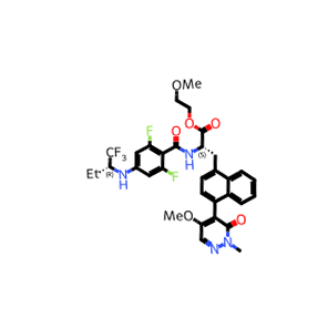 CC[C@@H](Nc1cc(F)c(C(=O)N[C@@H](Cc2ccc(-c3c(OC)cnn(C)c3=O)c3ccccc23)C(=O)OCCOC)c(F)c1)C(F)(F)F